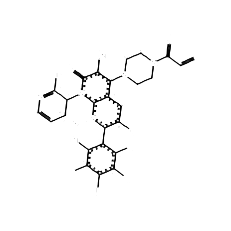 C=CC(=O)N1CCN(c2c(C#N)c(=O)n(C3C(C(C)C)=NC=C[C@H]3C)c3nc(-c4c(N)c(F)c(F)c(Cl)c4Cl)c(Cl)cc23)CC1